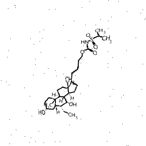 CC[C@H]1[C@@H](O)[C@@H]2[C@H](CC[C@]3(C)[C@@H](CCCCOC(=O)NS(=O)(=O)C(C)C)CC[C@@H]23)[C@@]2(C)CC[C@@H](O)C[C@@H]12